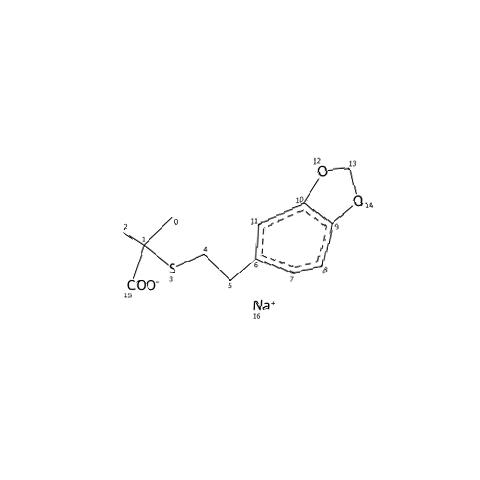 CC(C)(SCCc1ccc2c(c1)OCO2)C(=O)[O-].[Na+]